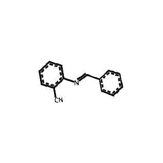 N#Cc1ccccc1N=Cc1ccccc1